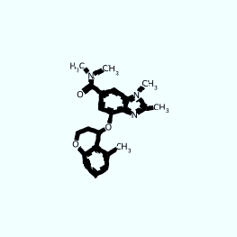 Cc1cccc2c1C(Oc1cc(C(=O)N(C)C)cc3c1nc(C)n3C)CCO2